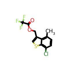 Cc1ccc(Cl)c2scc(COC(=O)C(F)(F)F)c12